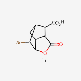 O=C(O)C1C2CC3C(OC(=O)C31)C2Br.[Ti]